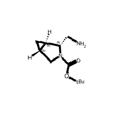 CC(C)(C)OC(=O)N1C[C@@H]2C[C@H]2[C@@H]1CN